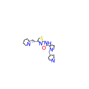 O=C(Nc1nc(/C=C/c2ccccn2)cs1)c1cccn1Cc1ccncc1